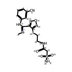 C/N=C(\Nc1cccc(C#N)c1)c1nonc1SCCNC(=O)CS(N)(=O)=O